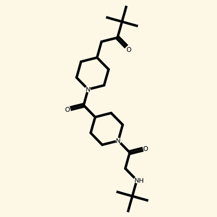 CC(C)(C)NCC(=O)N1CCC(C(=O)N2CCC(CC(=O)C(C)(C)C)CC2)CC1